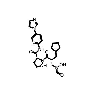 O=CN(O)C[C@@H](CC1CCCC1)C(=O)N1NCC[C@H]1C(=O)Nc1ccc(-n2ccnc2)cn1